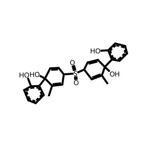 CC1=CC(S(=O)(=O)C2C=CC(O)(c3ccccc3O)C(C)=C2)C=CC1(O)c1ccccc1O